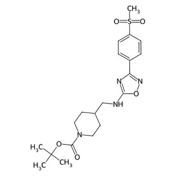 CC(C)(C)OC(=O)N1CCC(CNc2nc(-c3ccc(S(C)(=O)=O)cc3)no2)CC1